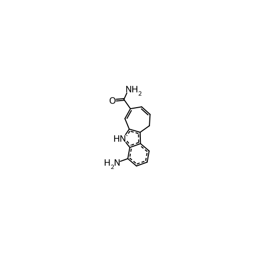 NC(=O)C1=Cc2[nH]c3c(N)cccc3c2CC=C1